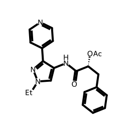 CCn1cc(NC(=O)[C@@H](Cc2ccccc2)OC(C)=O)c(-c2ccncc2)n1